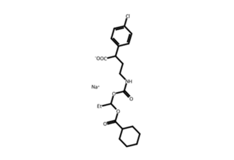 CCC(OC(=O)NCCC(C(=O)[O-])c1ccc(Cl)cc1)OC(=O)C1CCCCC1.[Na+]